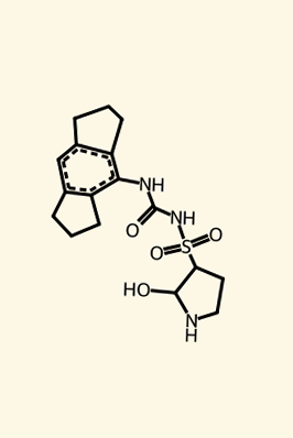 O=C(Nc1c2c(cc3c1CCC3)CCC2)NS(=O)(=O)C1CCNC1O